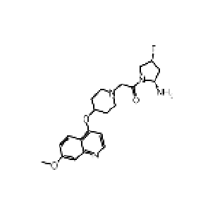 COc1ccc2c(OC3CCN(CC(=O)N4C[C@@H](F)C[C@H]4N)CC3)ccnc2c1